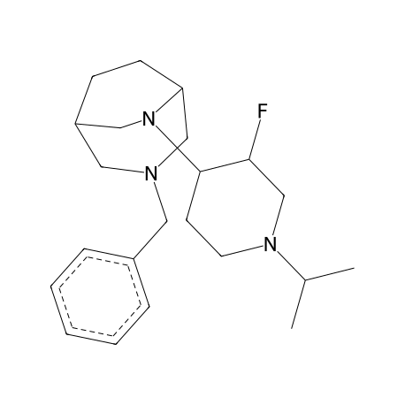 CC(C)N1CCC(N2CC3CCC2CN(Cc2ccccc2)C3)C(F)C1